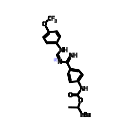 CCCCC(C)OC(=O)Nc1ccc(C(=N)/N=C\Nc2ccc(OC(F)(F)F)cc2)cc1